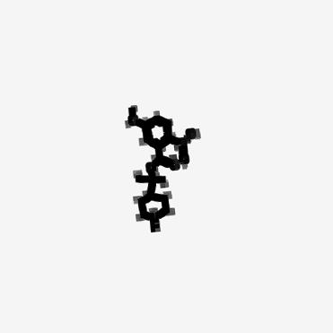 COc1ccc([N+](=O)[O-])c(C(=O)OC(C)(C)C2CCNCC2)c1